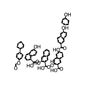 O=C(O)c1cc2ccccc2cc1O.O=C(O)c1cc2ccccc2cc1O.O=C(O)c1ccc2cc(O)ccc2c1.O=C(O)c1cccc2cc(O)ccc12.O=COc1ccc(-c2ccccc2)cc1.Oc1cc[c]cc1